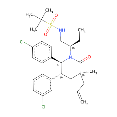 C=CC[C@@]1(C)C[C@H](c2cccc(Cl)c2)[C@@H](c2ccc(Cl)cc2)N([C@H](CC)CNS(=O)(=O)C(C)(C)C)C1=O